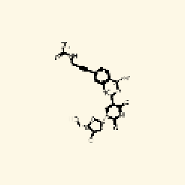 CC(C)[C@@H](OCc1cn([C@@H]2CC(O)[C@H](CO)O2)c(=O)[nH]c1=O)c1ccc(C#CCNC(=O)C(F)(F)F)cc1[N+](=O)[O-]